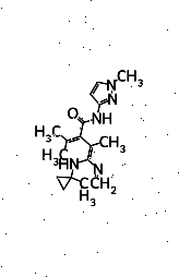 C=N/C(NC1(C)CC1)=C(\C)C(C(=O)Nc1ccn(C)n1)=C(C)C